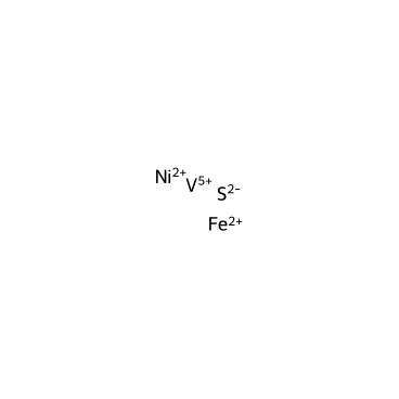 [Fe+2].[Ni+2].[S-2].[V+5]